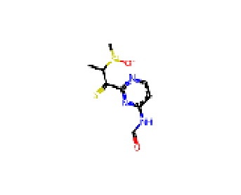 CC(C(=S)c1nccc(NC=O)n1)[S+](C)[O-]